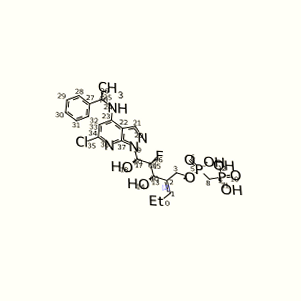 CC/C=C(/COP(=O)(O)CP(=O)(O)O)[C@@H](O)[C@H](F)[C@@H](O)n1ncc2c(N[C@H](C)c3ccccc3)cc(Cl)nc21